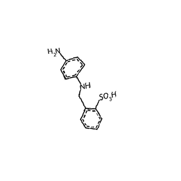 Nc1ccc(NCc2ccccc2S(=O)(=O)O)cc1